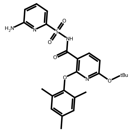 Cc1cc(C)c(Oc2nc(OC(C)(C)C)ccc2C(=O)NS(=O)(=O)c2cccc(N)n2)c(C)c1